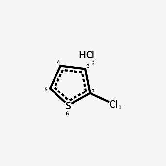 Cl.Clc1cccs1